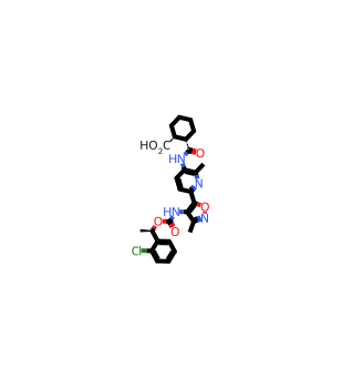 Cc1nc(-c2onc(C)c2NC(=O)O[C@H](C)c2ccccc2Cl)ccc1NC(=O)[C@H]1CCCC[C@H]1C(=O)O